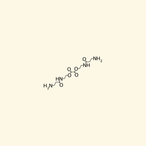 NCCC(=O)NCCOC(=O)C(=O)OCCNC(=O)CCN